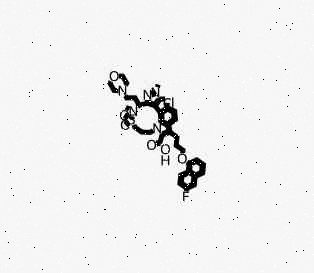 Cc1c2c(nn1C)C(CCN1CCOCC1)N(C)S(=O)(=O)CCCn1c(C(=O)O)c(CCCOc3cccc4cc(F)ccc34)c3ccc(Cl)c-2c31